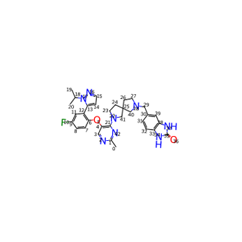 Cc1ncc(Oc2ccc(F)cc2-c2ccnn2C(C)C)c(N2CCC3(CCN(Cc4ccc5[nH]c(=O)[nH]c5c4)C3)C2)n1